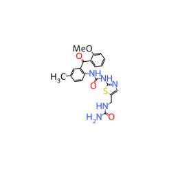 COc1ccccc1C(=O)c1cc(C)ccc1NC(=O)Nc1ncc(CNC(N)=O)s1